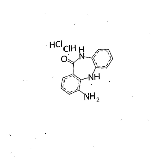 Cl.Cl.Nc1cccc2c1Nc1ccccc1NC2=O